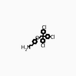 NCCc1ccc(OCCC(c2ccc(Cl)cc2)(c2ccc(Cl)cc2)c2ccc(Cl)cc2)cc1